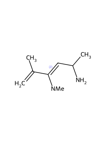 C=C(C)/C(=C/C(C)N)NC